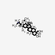 C/C=C(/C)C(=O)O[C@H]1C(OC(C)=O)[C@@]2(CO)C(C[C@]1(C)S)C1=CCC3[C@@]4(C)CC[C@H](O)[C@](S)(CO)C4CC[C@@]3(C)[C@]1(S)C[C@H]2O